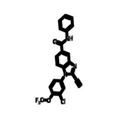 C#Cc1nc2cc(C(=O)Nc3ccccc3)ccc2n1-c1ccc(OC(F)(F)F)c(Cl)c1